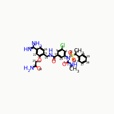 CNC(=O)N(c1cc(Cl)cc(C(=O)NCc2ccc(C(=N)N)cc2OCC(N)=O)c1)S(=O)(=O)C(C)c1ccccc1